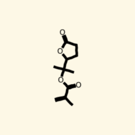 C=C(C)C(=O)OC(C)(C)C1CCC(=O)O1